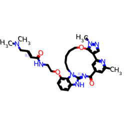 Cc1cc2cc(n1)-c1cnn(C)c1OCCCCCN1/C(=N/C2=O)Nc2cccc(OCCNC(=O)/C=C/CN(C)C)c21